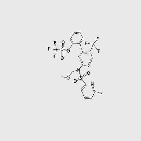 COCN(c1ccc(C(F)(F)F)c(-c2ccccc2OS(=O)(=O)C(F)(F)F)n1)S(=O)(=O)c1cccc(F)n1